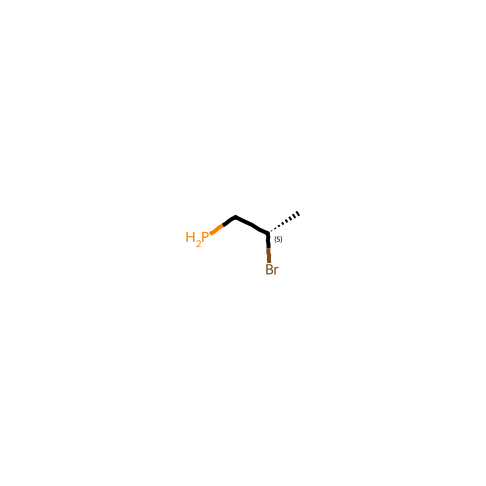 C[C@H](Br)CP